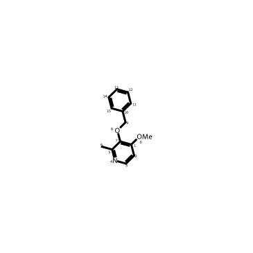 COc1ccnc(C)c1OCc1ccccc1